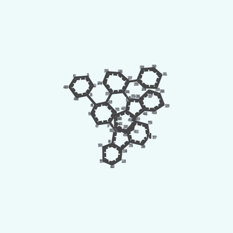 c1ccc(-c2ccc(-n3c4ccccc4c4cnccc43)cc2-c2cccc(-c3ccccc3)c2-n2c3ccccc3c3ccccc32)cc1